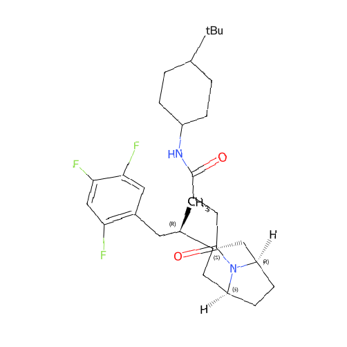 C[C@H](Cc1cc(F)c(F)cc1F)[C@@H]1C[C@H]2CC[C@@H](C1)N2C(=O)CCC(=O)NC1CCC(C(C)(C)C)CC1